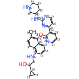 Cc1ccc2c(NCC(O)C3CC3)cccc2c1Oc1ncccc1-c1ccnc(N[C@H]2CCCNC2)n1